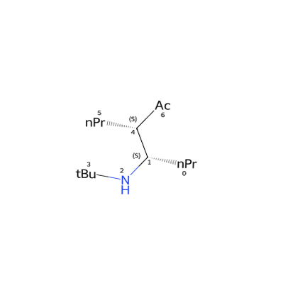 CCC[C@H](NC(C)(C)C)[C@H](CCC)C(C)=O